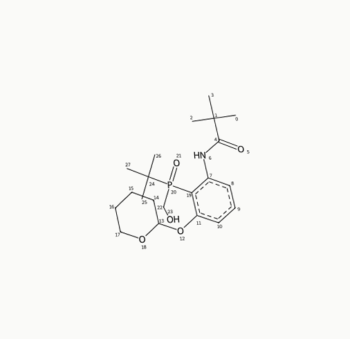 CC(C)(C)C(=O)Nc1cccc(OC2CCCCO2)c1P(=O)(CO)C(C)(C)C